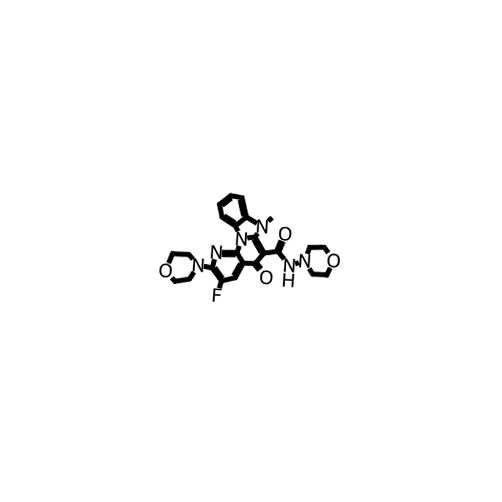 Cn1c2ccccc2n2c3nc(N4CCOCC4)c(F)cc3c(=O)c(C(=O)NN3CCOCC3)c12